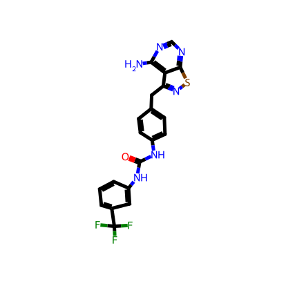 Nc1ncnc2snc(Cc3ccc(NC(=O)Nc4cccc(C(F)(F)F)c4)cc3)c12